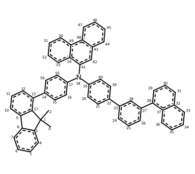 CC1(C)c2ccccc2-c2cccc(-c3ccc(N(c4ccc(-c5cccc(-c6cccc7ccccc67)c5)cc4)c4cc5ccccc5c5ccccc45)cc3)c21